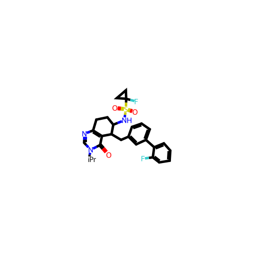 CC(C)n1cnc2c(c1=O)C(Cc1cccc(-c3ccccc3F)c1)C(NS(=O)(=O)C1(F)CC1)CC2